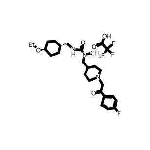 CCO[C@H]1CC[C@H](CNC(=O)N(C)CC2CCN(CC(=O)c3ccc(F)cc3)CC2)CC1.O=C(O)C(F)(F)F